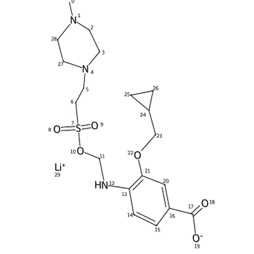 CN1CCN(CCS(=O)(=O)OCNc2ccc(C(=O)[O-])cc2OCC2CC2)CC1.[Li+]